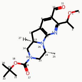 COC(C)c1nc2c(cc1C=O)C[C@@H]1CN(C(=O)OC(C)(C)C)C[C@@H](C)N21